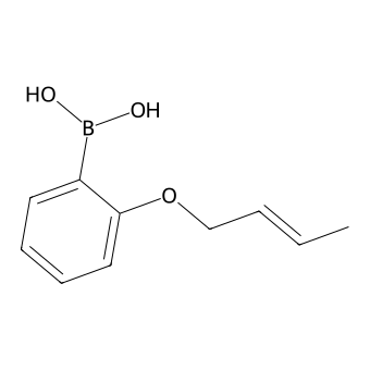 C/C=C/COc1ccccc1B(O)O